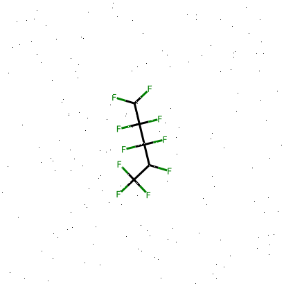 F[C](F)C(F)(F)C(F)(F)C(F)C(F)(F)F